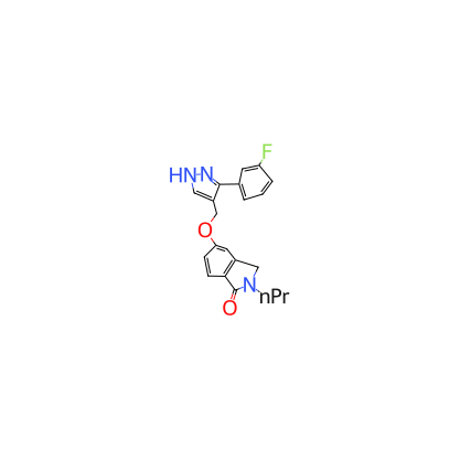 CCCN1Cc2cc(OCc3c[nH]nc3-c3cccc(F)c3)ccc2C1=O